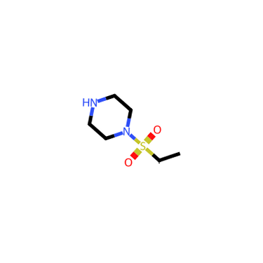 C[CH]S(=O)(=O)N1CCNCC1